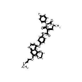 COCCOc1cc2nccc(Oc3ccc(NC(=O)c4cn(C)c(=O)n(-c5ccc(F)cc5)c4=O)cc3)c2c2c1OCCO2